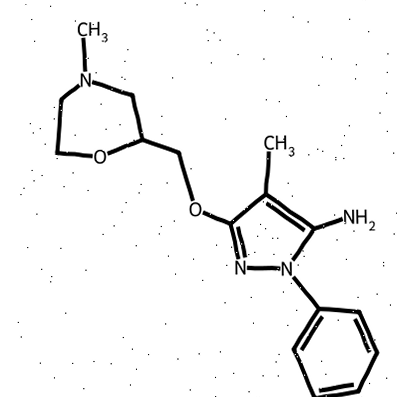 Cc1c(OCC2CN(C)CCO2)nn(-c2ccccc2)c1N